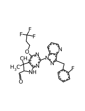 CC1(C)c2c(nc(-n3nc(Cc4ccccc4F)c4ncccc43)nc2OCCC(F)(F)F)NC1C=O